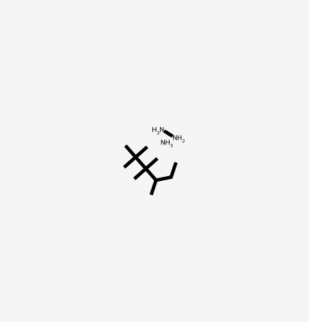 CCC(C)C(C)(C)C(C)(C)C.N.NN